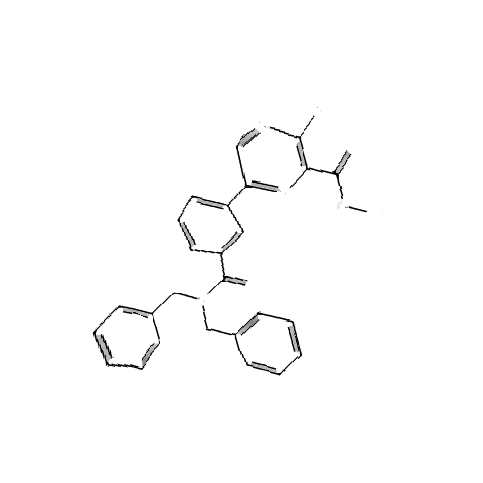 CNC(=O)c1nc(-c2cccc(C(=O)N(Cc3ccccc3)Cc3ccccc3)c2)cnc1N